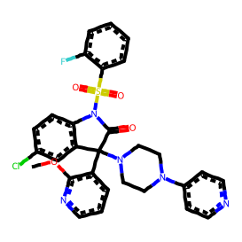 COc1ncccc1C1(N2CCN(c3ccncc3)CC2)C(=O)N(S(=O)(=O)c2ccccc2F)c2ccc(Cl)cc21